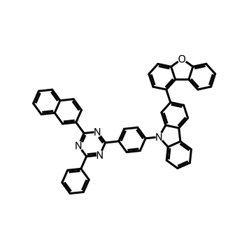 c1ccc(-c2nc(-c3ccc(-n4c5ccccc5c5ccc(-c6cccc7oc8ccccc8c67)cc54)cc3)nc(-c3ccc4ccccc4c3)n2)cc1